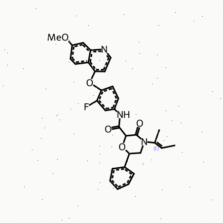 C/C=C(\C)N1CC(c2ccccc2)OC(C(=O)Nc2ccc(Oc3ccnc4cc(OC)ccc34)c(F)c2)C1=O